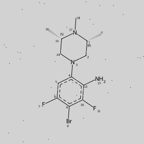 C[C@@H]1CN(c2cc(F)c(Br)c(F)c2N)C[C@H](C)N1C